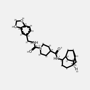 O=C(NC1CC[C@@H]2CC3CC1CC2C3)C1CCN(C(=O)NCc2ccc3c(c2)OCO3)CC1